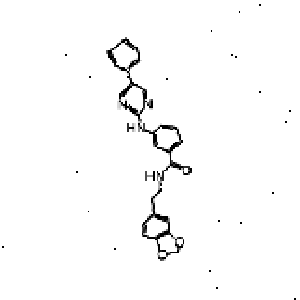 O=C(NCCc1ccc2c(c1)OCO2)c1cccc(Nc2ncc(-c3ccccc3)cn2)c1